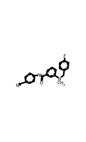 CN(Cc1ccc(F)cc1)c1cccc(C(=O)Nc2ccc(C#N)cc2)c1